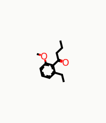 CCCC(=O)c1c(CC)cccc1OC